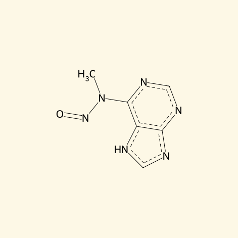 CN(N=O)c1ncnc2nc[nH]c12